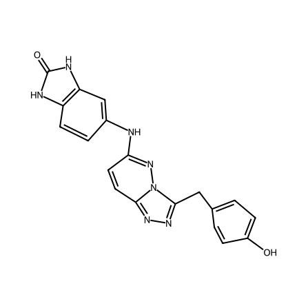 O=c1[nH]c2ccc(Nc3ccc4nnc(Cc5ccc(O)cc5)n4n3)cc2[nH]1